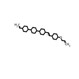 C=CCOC1CCC(/C=C/C2CCC(C3CCC(C4CCC(C=C)CC4)CC3)CC2)CC1